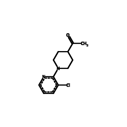 CC(=O)C1CCN(c2ncccc2Cl)CC1